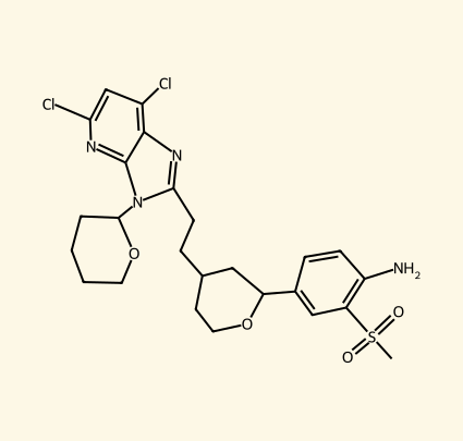 CS(=O)(=O)c1cc(C2CC(CCc3nc4c(Cl)cc(Cl)nc4n3C3CCCCO3)CCO2)ccc1N